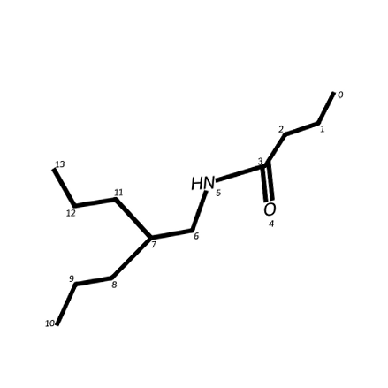 CCCC(=O)NCC(CCC)CCC